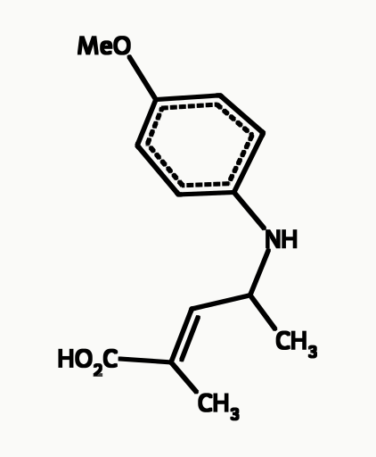 COc1ccc(NC(C)C=C(C)C(=O)O)cc1